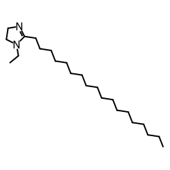 CCCCCCCCCCCCCCCCCCC1=NCCN1CC